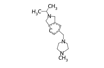 CC(C)N1Cc2ccc(CN3CCN(C)CC3)cc2C1